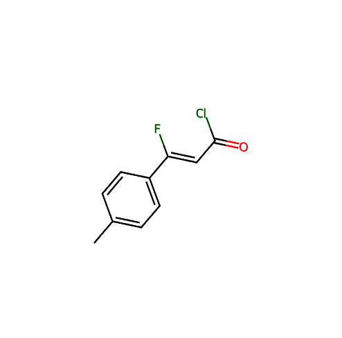 Cc1ccc(C(F)=CC(=O)Cl)cc1